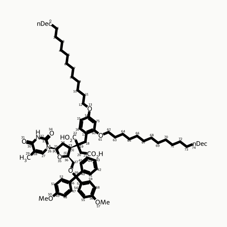 CCCCCCCCCCCCCCCCCCCCCCOc1ccc(CC(CC(=O)O)(C(=O)O)[C@@H]2C[C@H](n3cc(C)c(=O)[nH]c3=O)O[C@@H]2COC(c2ccccc2)(c2ccc(OC)cc2)c2ccc(OC)cc2)c(OCCCCCCCCCCCCCCCCCCCCCC)c1